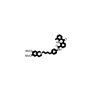 COc1cc2c(cc1OC)CN(CCCCc1ccc(NC(=O)c3cccc4c(=O)c5cccc(C)c5[nH]c34)cc1)CC2